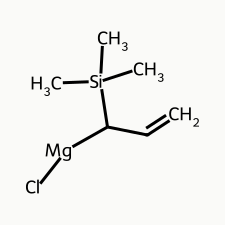 C=C[CH]([Mg][Cl])[Si](C)(C)C